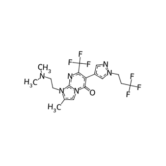 Cc1cn2c(=O)c(-c3cnn(CCC(F)(F)F)c3)c(C(F)(F)F)nc2n1CCN(C)C